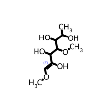 CO/C=C(\O)C(O)C(OC)C(O)C(C)O